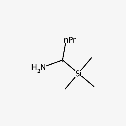 CCC[C](N)[Si](C)(C)C